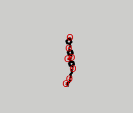 O=C(Oc1ccc(OCC2CCC3OC3C2)cc1)c1ccc(OCCCCOCC2CO2)cc1